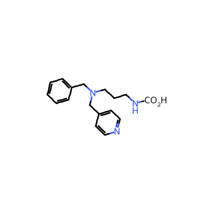 O=C(O)NCCCN(Cc1ccccc1)Cc1ccncc1